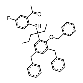 CCCC(CC)(Pc1ccc(F)cc1C(C)=O)c1cc(Cc2ccccc2)cc(Cc2ccccc2)c1OCc1ccccc1